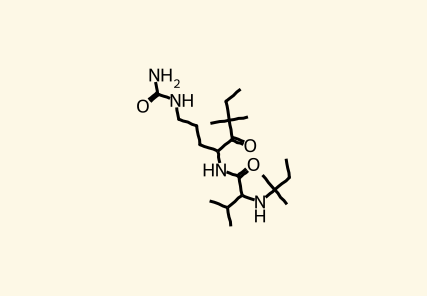 CCC(C)(C)NC(C(=O)NC(CCCNC(N)=O)C(=O)C(C)(C)CC)C(C)C